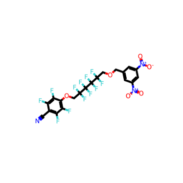 N#Cc1c(F)c(F)c(OCC(F)(F)C(F)(F)C(F)(F)C(F)(F)COCc2cc([N+](=O)[O-])cc([N+](=O)[O-])c2)c(F)c1F